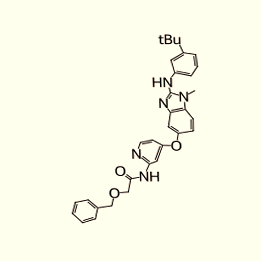 Cn1c(Nc2cccc(C(C)(C)C)c2)nc2cc(Oc3ccnc(NC(=O)COCc4ccccc4)c3)ccc21